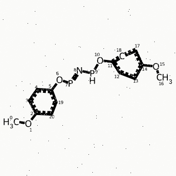 COc1ccc(OP=NPOc2ccc(OC)cc2)cc1